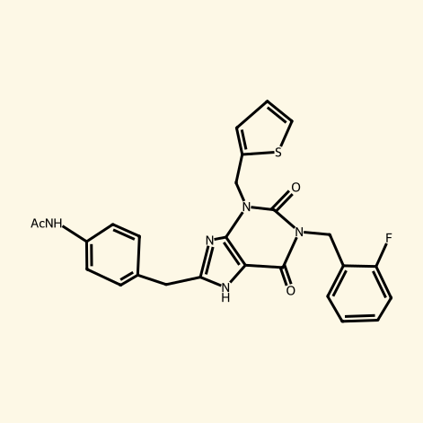 CC(=O)Nc1ccc(Cc2nc3c([nH]2)c(=O)n(Cc2ccccc2F)c(=O)n3Cc2cccs2)cc1